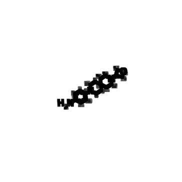 Nc1ccc(N2CCC3(CC2)CCN(C2COC2)CC3)cc1